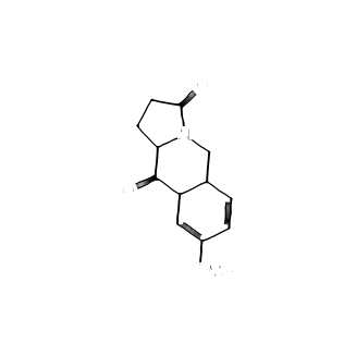 COC1=CC2C(=O)C3CCC(=O)N3CC2C=C1